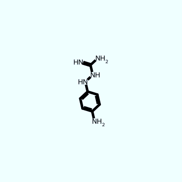 N=C(N)NNc1ccc(N)cc1